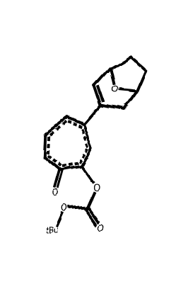 CC(C)(C)OC(=O)Oc1cc(C2=CC3CCC(C2)O3)cccc1=O